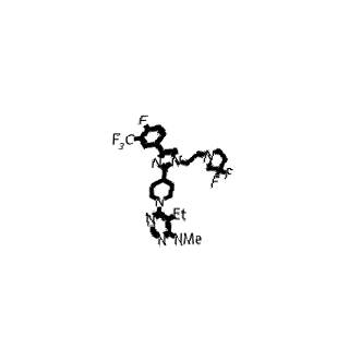 CCc1c(NC)ncnc1N1CCC(c2nc(-c3ccc(F)c(C(F)(F)F)c3)cn2CCN2CCC(F)(F)C2)CC1